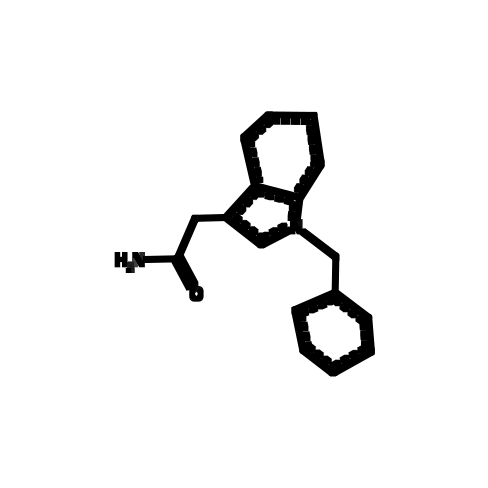 NC(=O)Cc1cn(Cc2ccccc2)c2ccccc12